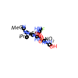 CCOc1nc2[nH]cc(F)c2cc1Oc1cc(N2CCC3(CC2)CC(N2CCN(Cc4ccnc(OC)c4)C[C@H]2c2ccccc2C(C)C)C3)ccc1C(=O)NS(=O)(=O)c1cnc(NCC2CCC(C)(O)CC2)c([N+](=O)[O-])c1